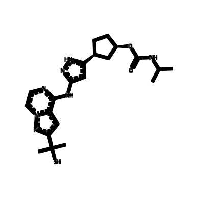 CC(C)NC(=O)O[C@@H]1CC[C@H](c2cc(Nc3nccn4nc(C(C)(C)S)cc34)n[nH]2)C1